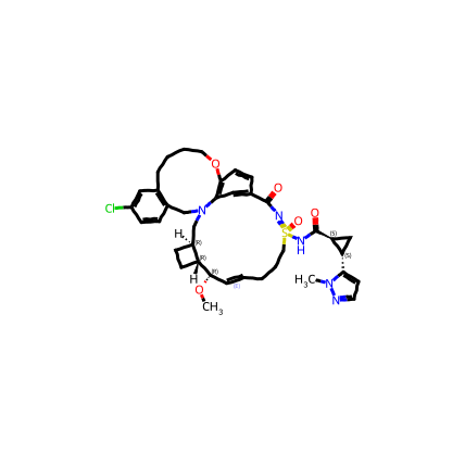 CO[C@H]1/C=C/CCCS(=O)(NC(=O)[C@H]2C[C@@H]2c2ccnn2C)=NC(=O)c2ccc3c(c2)N(Cc2ccc(Cl)cc2CCCCO3)C[C@@H]2CC[C@H]21